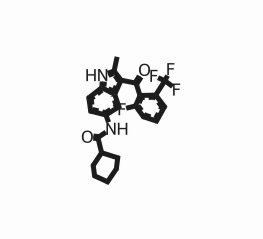 Cc1[nH]c2ccc(NC(=O)C3CCCCC3)cc2c1C(=O)c1c(F)cccc1C(F)(F)F